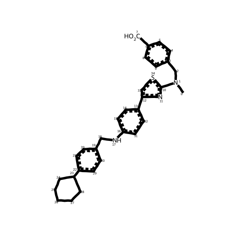 CN(Cc1ccc(C(=O)O)cc1)c1nc(-c2ccc(NCc3ccc(C4CCCCC4)cc3)cc2)cs1